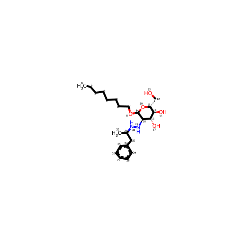 CCCCCCCCOC1O[C@H](CO)[C@@H](O)[C@H](O)[C@H]1NNC(C)Cc1ccccc1